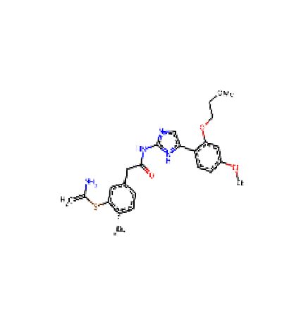 C=C(N)Sc1cc(CC(=O)Nc2ncc(-c3ccc(OCC)cc3OCCOC)[nH]2)ccc1[C@@H](C)CC